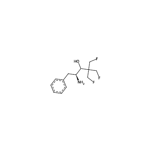 N[C@@H](Cc1ccccc1)C(O)C(CF)(CF)CF